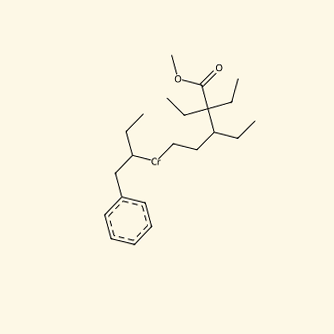 CC[CH](Cc1ccccc1)[Cr][CH2]CC(CC)C(CC)(CC)C(=O)OC